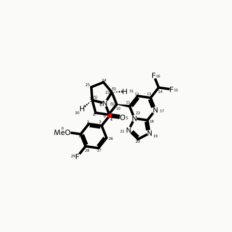 COc1cc(C(=O)N2[C@H]3CC[C@H](c4cc(C(F)F)nc5ncnn45)[C@@H]2CC3)ccc1F